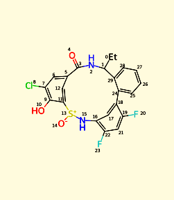 CCC1NC(=O)c2cc(Cl)c(O)c(c2)[S+]([O-])Nc2cc(c(F)cc2F)-c2ccccc21